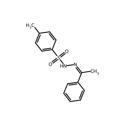 CC(=NNS(=O)(=O)c1ccc(C)cc1)c1ccccc1